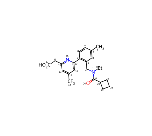 CCN(Cc1cc(C)ccc1-c1cc(C(F)(F)F)cc(CC(=O)O)n1)C(=O)C1CCC1